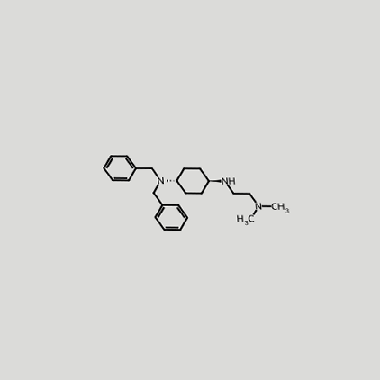 CN(C)CCN[C@H]1CC[C@H](N(Cc2ccccc2)Cc2ccccc2)CC1